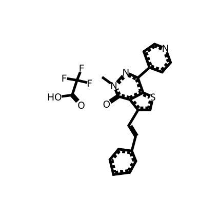 Cn1nc(-c2ccncc2)c2scc(/C=C/c3ccccc3)c2c1=O.O=C(O)C(F)(F)F